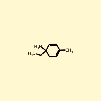 CCC1(N)C=CC(C)=CC1